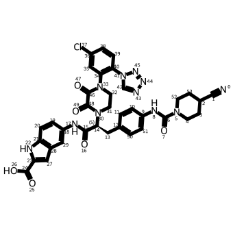 N#CC1CCN(C(=O)Nc2ccc(C[C@@H](C(=O)Nc3ccc4[nH]c(C(=O)O)cc4c3)N3CCN(c4cc(Cl)ccc4-n4cnnn4)C(=O)C3=O)cc2)CC1